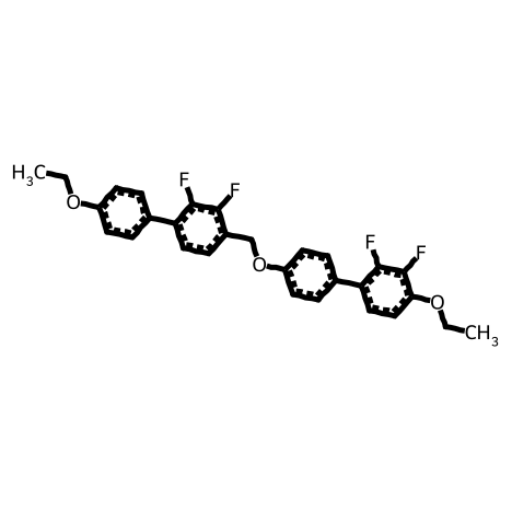 CCOc1ccc(-c2ccc(COc3ccc(-c4ccc(OCC)c(F)c4F)cc3)c(F)c2F)cc1